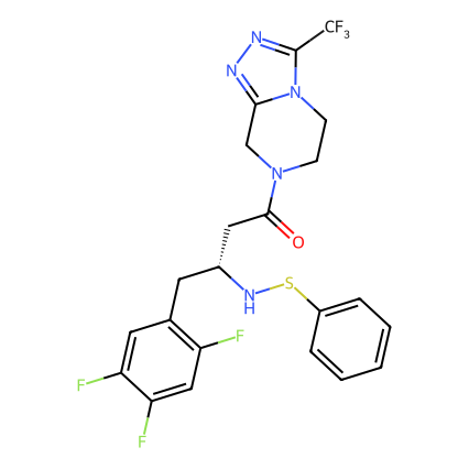 O=C(C[C@@H](Cc1cc(F)c(F)cc1F)NSc1ccccc1)N1CCn2c(nnc2C(F)(F)F)C1